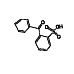 O=C(c1ccccc1)c1ccccc1S(=O)(=O)O